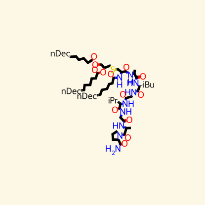 CCCCCCCCCCCCCCCC(=O)NC(CSCC(COC(=O)CCCCCCCCCCCCCCC)OC(=O)CCCCCCCCCCCCCCC)C(=O)NC(C)C(=O)N[C@H](C(=O)NCC(=O)NC(C(=O)NCC(=O)NC(C)C(=O)N1CCCC1C(N)=O)C(C)C)[C@@H](C)CC